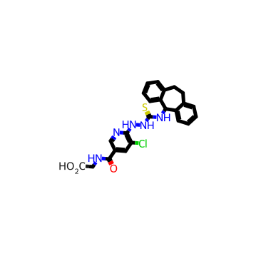 O=C(O)CNC(=O)c1cnc(NNC(=S)NC2c3ccccc3CCc3ccccc32)c(Cl)c1